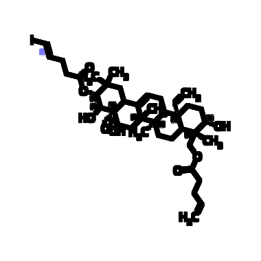 C=CCCC(=O)OC[C@]1(C)C2CC[C@]3(C)C(CC=C4C5CC(C)(C)[C@@H](OC(=O)CC/C=C/I)[C@H](O)[C@]5(CO)[C@H](O)C[C@]43C)[C@@]2(C=C)CC[C@@H]1O